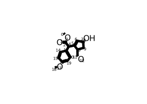 COC(=O)C(C1=C[C@H](O)CC1C=O)c1ccc(OC)cc1